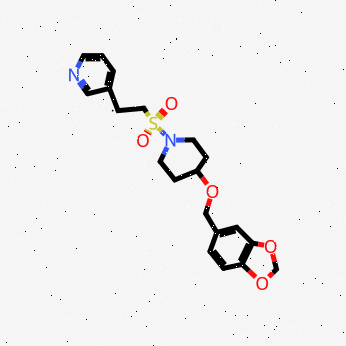 O=S(=O)(C[CH]c1cccnc1)N1CCC(OCc2ccc3c(c2)OCO3)CC1